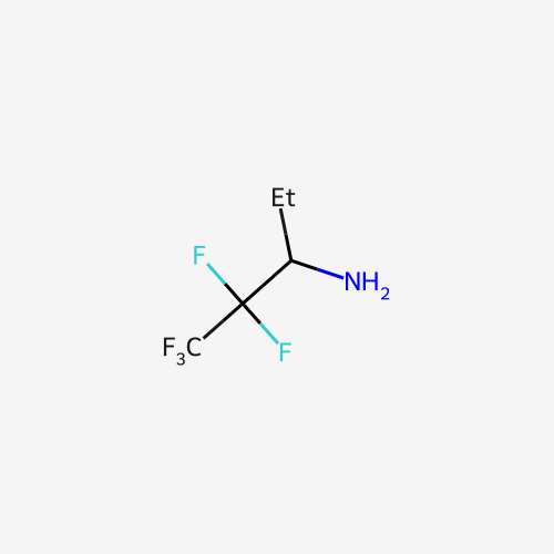 CCC(N)C(F)(F)C(F)(F)F